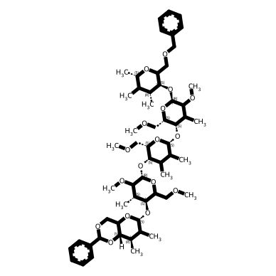 COCC1O[C@@H](O[C@H]2C(C)C(C)[C@@H](O[C@H]3C(C)C(OC)[C@H](O[C@@H]4C(COCc5ccccc5)O[C@@H](C)C(C)[C@H]4C)O[C@H]3COC)O[C@H]2COC)C(OC)[C@@H](C)[C@@H]1O[C@H]1OC2COC(c3ccccc3)O[C@H]2[C@H](C)C1C